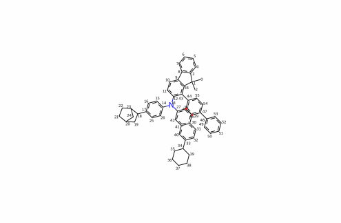 CC1(C)c2ccccc2-c2ccc(N(c3ccc(C4CC5CCC4C5)cc3)c3ccc4ccc(C5CCCCC5)cc4c3)c(-c3ccc(-c4ccccc4)cc3)c21